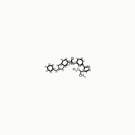 CC(C)n1cnnc1-c1cccc(NC(=O)c2ccc3c(c2)CN(Cc2ccccc2)C3)n1